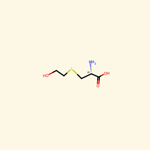 N[C@@H](CSCCO)C(=O)O